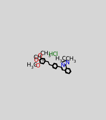 COc1cc(CCc2ccc(C3=Cc4ccccc4C4=NC(C)(C)CN34)cc2)cc(OC)c1OC.Cl